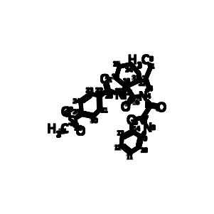 CCCCN(C(=O)c1nc2ccccc2o1)C(=O)C1(NC(=O)c2ccc(S(C)(=O)=O)cc2)CCCCC1